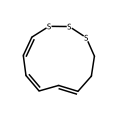 C1=C\C=C\CCSSS\C=C/1